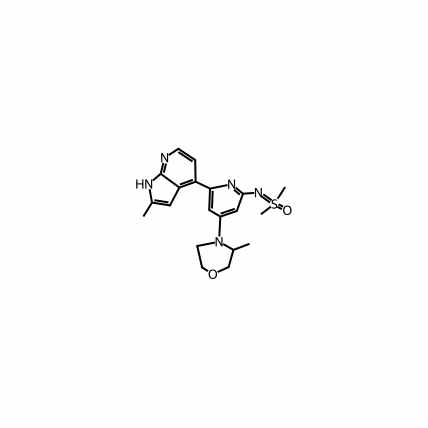 Cc1cc2c(-c3cc(N4CCOCC4C)cc(N=S(C)(C)=O)n3)ccnc2[nH]1